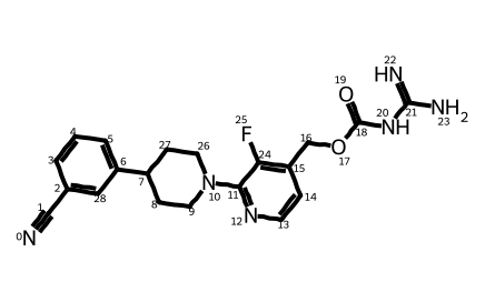 N#Cc1cccc(C2CCN(c3nccc(COC(=O)NC(=N)N)c3F)CC2)c1